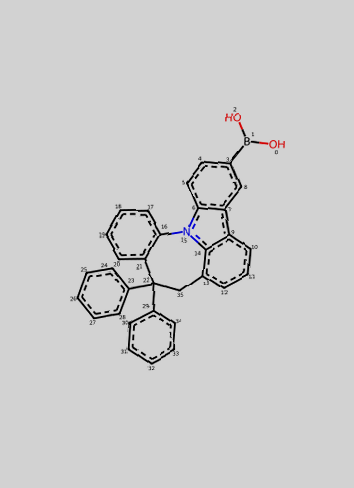 OB(O)c1ccc2c(c1)c1cccc3c1n2-c1ccccc1C(c1ccccc1)(c1ccccc1)C3